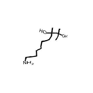 CC(C)(O)C(C)(O)CCCCCCN